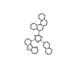 c1ccc2cc(-c3nc(-c4cc5ccc6ccccc6c5c5ccccc45)nc(-c4cccc5oc6cccnc6c45)n3)ccc2c1